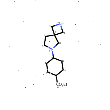 CCOC(=O)C1CCC(N2CCC3(CNC3)C2)CC1